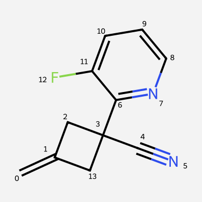 C=C1CC(C#N)(c2ncccc2F)C1